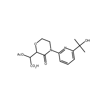 CC(=O)OC(C(=O)O)C1OCCN(c2cccc(C(C)(C)O)n2)C1=O